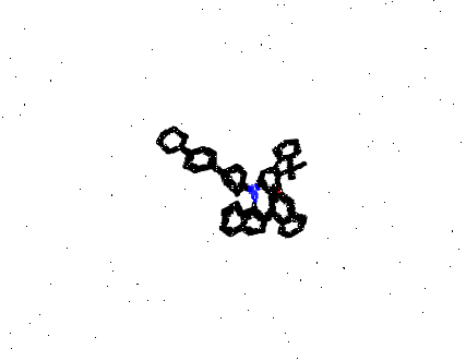 CC1(C)c2ccccc2-c2cc(N(c3ccc(-c4ccc(C5CCCCC5)cc4)cc3)c3c(-c4cccc5ccccc45)ccc4ccccc34)ccc21